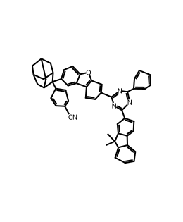 CC1(C)c2ccccc2-c2ccc(-c3nc(-c4ccccc4)nc(-c4ccc5c(c4)oc4ccc(C6(c7ccc(C#N)cc7)C7CC8CC(C7)CC6C8)cc45)n3)cc21